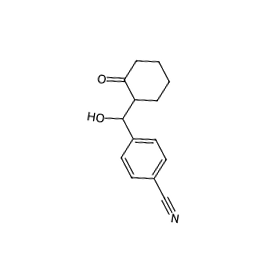 N#Cc1ccc(C(O)C2CCCCC2=O)cc1